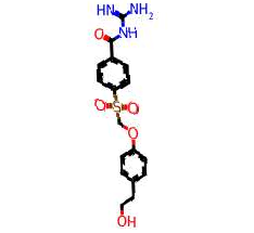 N=C(N)NC(=O)c1ccc(S(=O)(=O)COc2ccc(CCO)cc2)cc1